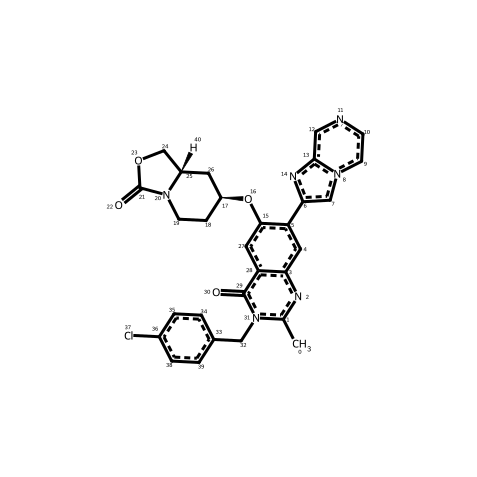 Cc1nc2cc(-c3cn4ccncc4n3)c(O[C@H]3CCN4C(=O)OC[C@@H]4C3)cc2c(=O)n1Cc1ccc(Cl)cc1